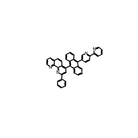 c1ccc(-c2cc(-c3c4ccccc4c(-c4ccc(-c5ccccn5)nc4)c4ccccc34)c3ccc4cccnc4c3n2)cc1